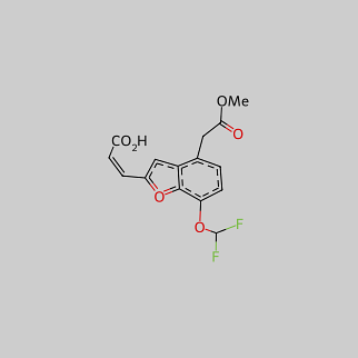 COC(=O)Cc1ccc(OC(F)F)c2oc(/C=C\C(=O)O)cc12